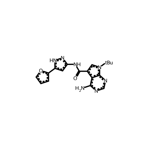 CC(C)(C)n1cc(C(=O)Nc2cc(-c3ccco3)[nH]n2)c2c(N)ncnc21